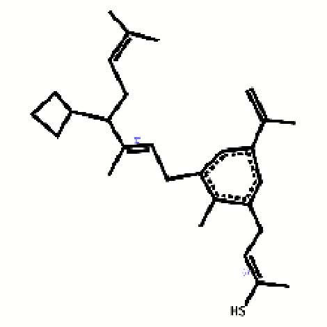 C=C(C)c1cc(C/C=C(\C)S)c(C)c(C/C=C(\C)C(CC=C(C)C)C2CCC2)c1